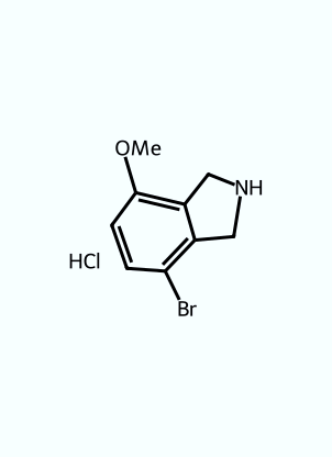 COc1ccc(Br)c2c1CNC2.Cl